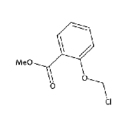 COC(=O)c1ccccc1OCCl